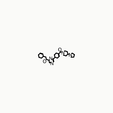 O=C(CC1C=CCCC1)c1cncc(C2CC=C(C(=O)N3CCC(N4CCCC4)CC3)CC2)n1